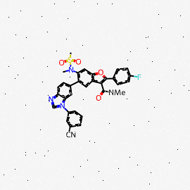 CNC(=O)c1c(-c2ccc(F)cc2)oc2cc(N(C)S(C)(=O)=O)c(-c3ccc4ncn(-c5cccc(C#N)c5)c4c3)cc12